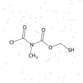 CN(C(=O)Cl)C(=O)OCS